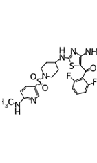 CNc1ccc(S(=O)(=O)N2CCC(Nc3nc(N)c(C(=O)c4c(F)cccc4F)s3)CC2)cn1